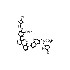 COc1nc(-c2cccc(-c3cccc(-c4ccn5c(=O)c(CN(C[C@@H]6CCC(=O)N6)C(=O)O)cnc5c4)c3Cl)c2Cl)ccc1CN[C@H]1C[C@H](O)C1